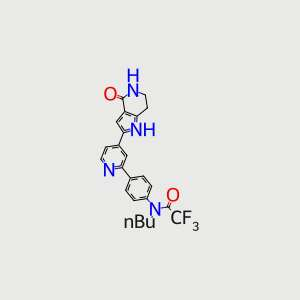 CCCCN(C(=O)C(F)(F)F)c1ccc(-c2cc(-c3cc4c([nH]3)CCNC4=O)ccn2)cc1